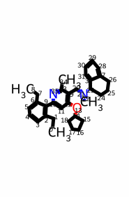 CCc1cccc(CC)c1-c1cc(OC2CCCC2)c(CN(C)[C@H]2CCCc3ccccc32)c(C)n1